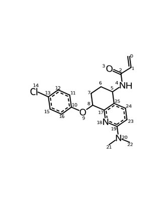 C=CC(=O)NC1CCC(Oc2ccc(Cl)cc2)c2nc(N(C)C)ccc21